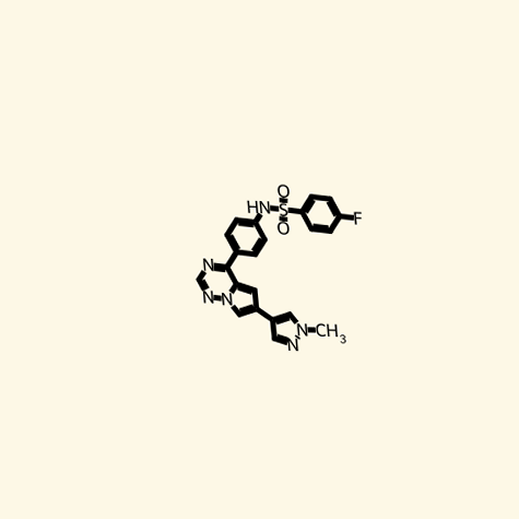 Cn1cc(-c2cc3c(-c4ccc(NS(=O)(=O)c5ccc(F)cc5)cc4)ncnn3c2)cn1